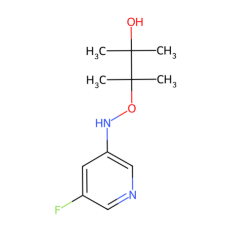 CC(C)(O)C(C)(C)ONc1cncc(F)c1